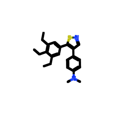 CCc1cc(-c2sncc2-c2ccc(N(C)C)cc2)cc(CC)c1CC